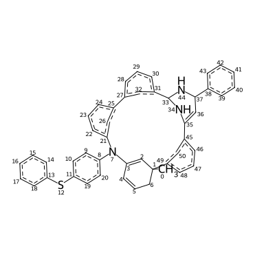 CC12C=C(C=CC1)N(c1ccc(Sc3ccccc3)cc1)c1cccc(c1)-c1cccc(c1)C1NC(=CC(c3ccccc3)N1)c1cccc2c1